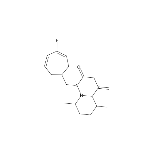 C=C1CC(=O)N(CC2=CC=CC(F)=CC2)N2C(C)CCC(C)C12